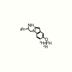 [2H]C([2H])([2H])Oc1ccc2c(ccn2CC(N)C(C)C)c1